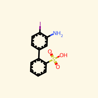 Nc1cc(-c2ccccc2S(=O)(=O)O)ccc1I